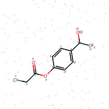 O=C(CCl)Oc1ccc(C(O)C(F)(F)F)cc1